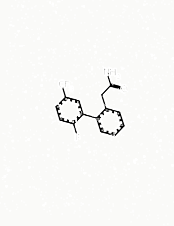 NC(=O)Cc1ccccc1-c1cc(C(F)(F)F)ccc1F